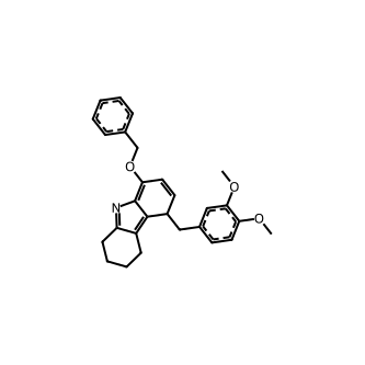 COc1ccc(CC2C=CC(OCc3ccccc3)=C3N=C4CCCCC4=C32)cc1OC